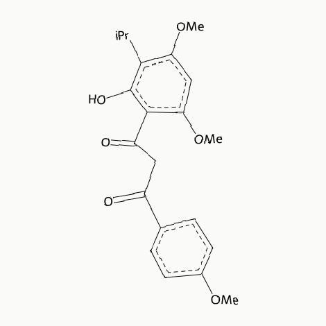 COc1ccc(C(=O)CC(=O)c2c(OC)cc(OC)c(C(C)C)c2O)cc1